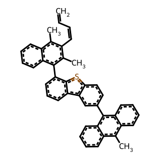 C=C/C=C\c1c(C)c(-c2cccc3c2sc2ccc(-c4c5ccccc5c(C)c5ccccc45)cc23)c2ccccc2c1C